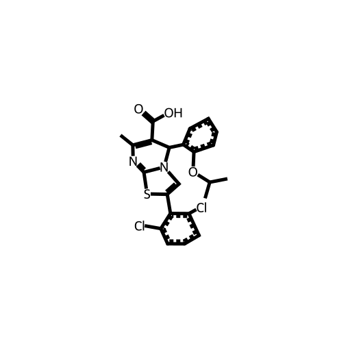 CC1=C(C(=O)O)C(c2ccccc2OC(C)C)N2C=C(c3c(Cl)cccc3Cl)SC2=N1